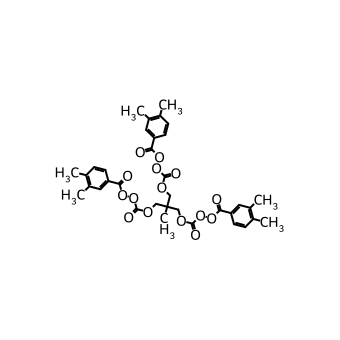 Cc1ccc(C(=O)OOC(=O)OCC(C)(COC(=O)OOC(=O)c2ccc(C)c(C)c2)COC(=O)OOC(=O)c2ccc(C)c(C)c2)cc1C